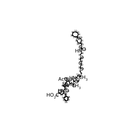 CC[C@@H](C)[C@H](NC(=O)CN(C)CCOCCOCCOCCNC(=O)OCC1CCN(C2CCCCCC2)CC1)C(=O)N(C)[C@H](CC(OC(C)=O)c1nc(C(=O)N[C@@H](Cc2ccccc2)C[C@H](C)C(=O)O)cs1)C(C)C